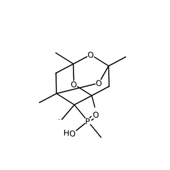 [CH2]C1(P(C)(=O)O)C2(C)CC3(C)OC(C)(CC1(C)O3)O2